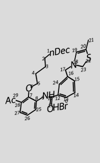 Br.CCCCCCCCCCCCCCOc1c(NC(=O)c2cccc(CN3C=C(C)SC3)c2)cccc1C(C)=O